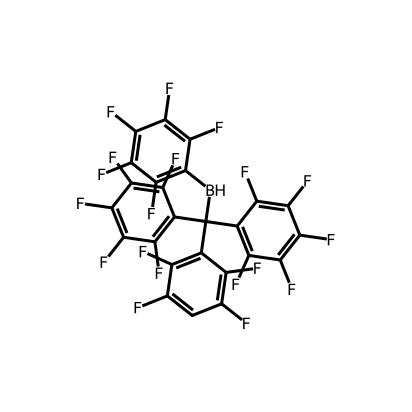 Fc1cc(F)c(F)c(C(Bc2c(F)c(F)c(F)c(F)c2F)(c2c(F)c(F)c(F)c(F)c2F)c2c(F)c(F)c(F)c(F)c2F)c1F